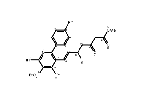 CCOC(=O)c1c(C(C)C)nc(-c2ccc(F)cc2)c(/C=C/C(O)CC(=O)CC(=O)OC)c1C(C)C